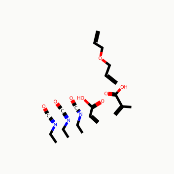 C=C(C)C(=O)O.C=CC(=O)O.C=CCOCC=C.CCN=C=O.CCN=C=O.CCN=C=O